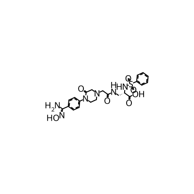 NC(=NO)c1ccc(N2CCN(CC(=O)NC[C@H](NS(=O)(=O)c3ccccc3)C(=O)O)CC2=O)cc1